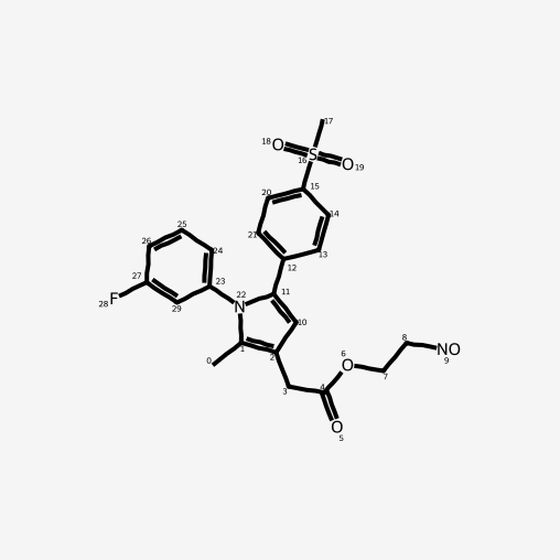 Cc1c(CC(=O)OCCN=O)cc(-c2ccc(S(C)(=O)=O)cc2)n1-c1cccc(F)c1